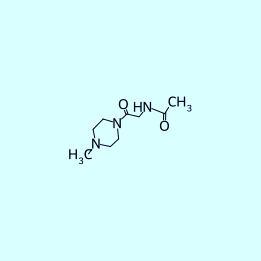 CC(=O)NCC(=O)N1CCN(C)CC1